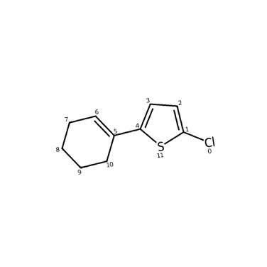 Clc1ccc(C2=CCCCC2)s1